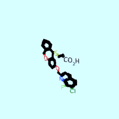 O=C(O)CCSC1c2ccccc2COc2ccc(OCc3ccc4ccc(Cl)c(F)c4n3)cc21